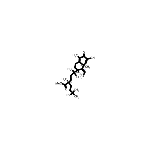 CCCC(C)(C)CC[C@@](C)(CCC(C)(C)[C@]1(C)CCC2=C(C)C(=O)C(C#N)=C[C@]2(C)/C1=C/C(C)=O)C(=O)OC